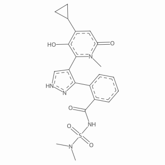 CN(C)S(=O)(=O)NC(=O)c1ccccc1-c1n[nH]cc1-c1c(O)c(C2CC2)cc(=O)n1C